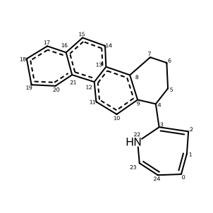 C1=CC=C(C2CCCc3c2ccc2c3ccc3ccccc32)NC=C1